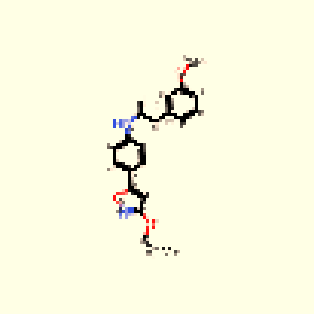 COCOc1cc(-c2ccc(NC(C)Cc3cccc(OC(C)C)c3)cc2)on1